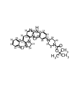 CC(C)(C)OC(=O)N1CCN(c2ccc(Nc3ncc4c(n3)N3CCN=C3C(c3ccccc3Cl)=C4)c(Cl)c2)CC1